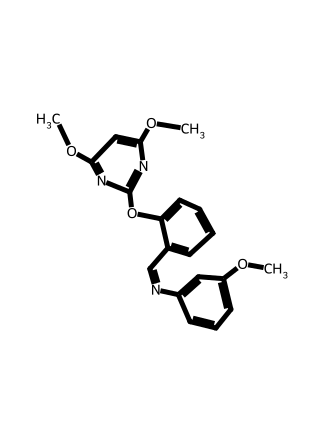 COc1cccc(/N=C\c2ccccc2Oc2nc(OC)cc(OC)n2)c1